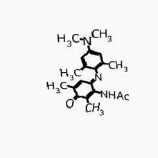 CC(=O)NC1=C(C)C(=O)C(C)=CC1=Nc1c(C)cc(N(C)C)cc1C